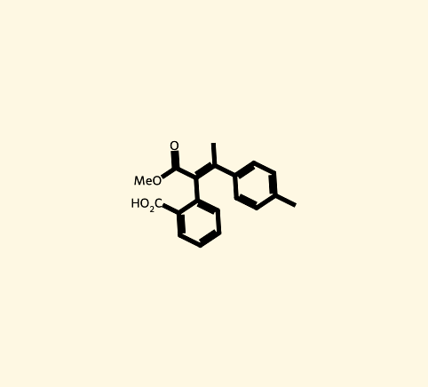 COC(=O)C(=C(C)c1ccc(C)cc1)c1ccccc1C(=O)O